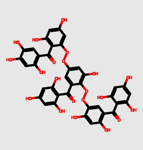 O=C(c1cc(OOc2c(O)cc(OOc3cc(O)cc(O)c3C(=O)c3cc(O)c(O)cc3O)cc2C(=O)c2c(O)cc(O)cc2O)c(O)cc1O)c1c(O)cc(O)cc1O